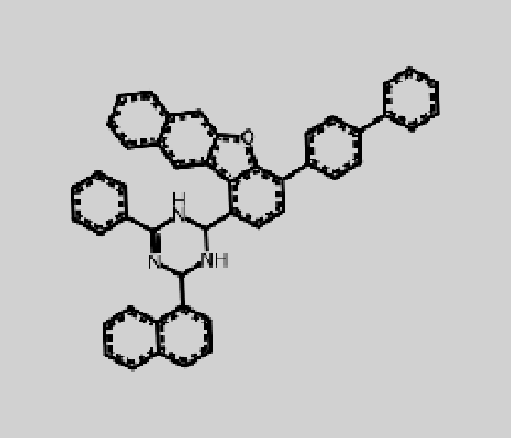 c1ccc(C2=NC(c3cccc4ccccc34)NC(c3ccc(-c4ccc(-c5ccccc5)cc4)c4oc5cc6ccccc6cc5c34)N2)cc1